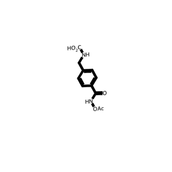 CC(=O)ONC(=O)c1ccc(CNC(=O)O)cc1